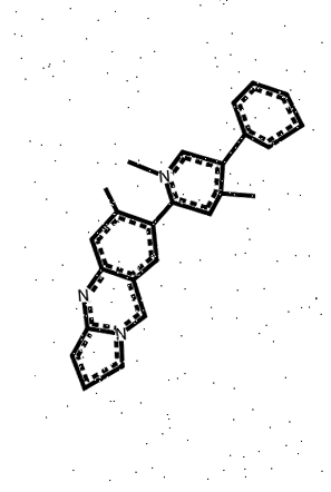 Cc1cc(-c2cc3cn4cccc4nc3cc2C)[n+](C)cc1-c1ccccc1